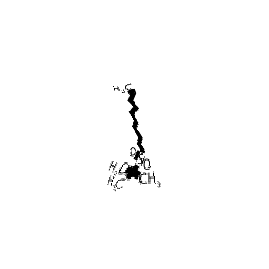 C=CCCCCCCCCS(=O)(=O)C(C)(C)C